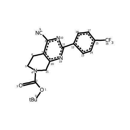 CC(C)(C)OC(=O)N1CCc2c(C#N)nc(-c3ccc(C(F)(F)F)cc3)nc2C1